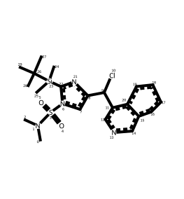 CN(C)S(=O)(=O)n1cc(C(Cl)c2cncc3ccccc23)nc1[Si](C)(C)C(C)(C)C